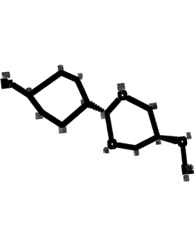 CCO[C@H]1CO[C@H](C2CCC(Br)CC2)OC1